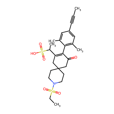 CC#Cc1cc(C)c(C2=C(C(C)S(=O)(=O)O)CC3(CCN(S(=O)(=O)CC)CC3)CC2=O)c(C)c1